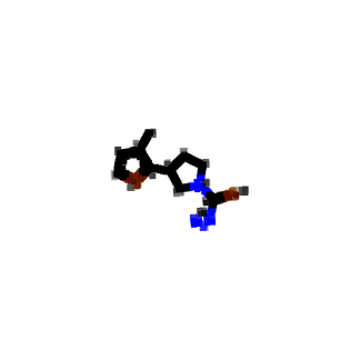 Cc1ccsc1C1CCN(C(N)=S)C1